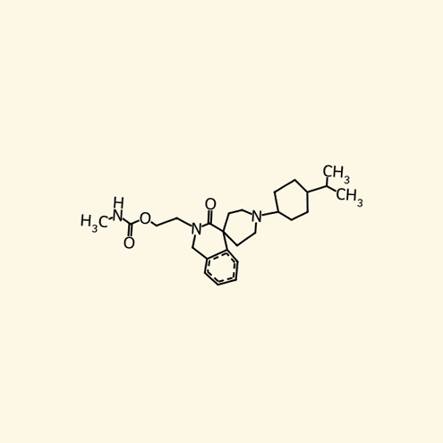 CNC(=O)OCCN1Cc2ccccc2C2(CCN(C3CCC(C(C)C)CC3)CC2)C1=O